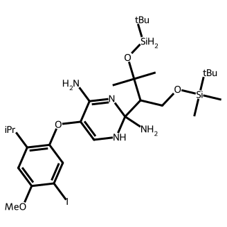 COc1cc(C(C)C)c(OC2=CNC(N)(C(CO[Si](C)(C)C(C)(C)C)C(C)(C)O[SiH2]C(C)(C)C)N=C2N)cc1I